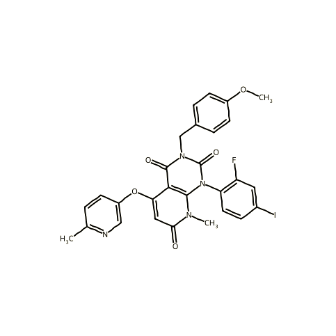 COc1ccc(Cn2c(=O)c3c(Oc4ccc(C)nc4)cc(=O)n(C)c3n(-c3ccc(I)cc3F)c2=O)cc1